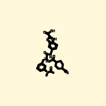 CC(=O)N(C)c1cccc(C[C@H](NC(=O)C2CCC(C#N)CC2)C(=O)Nc2ccc3[nH]c(C(=O)O)nc3c2)c1